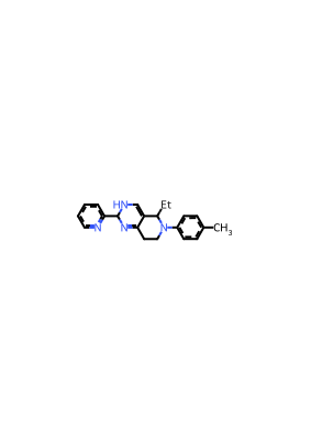 CCC1C2=CNC(c3ccccn3)N=C2CCN1c1ccc(C)cc1